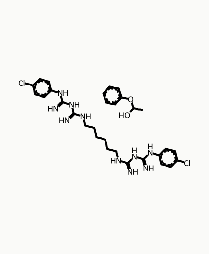 CC(O)Oc1ccccc1.N=C(NCCCCCCNC(=N)NC(=N)Nc1ccc(Cl)cc1)NC(=N)Nc1ccc(Cl)cc1